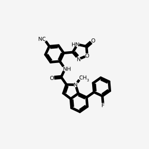 Cn1c(C(=O)Nc2ccc(C#N)cc2-c2noc(=O)[nH]2)cc2cccc(-c3ccccc3F)c21